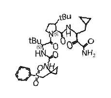 CC(C)(C)C1CCN(C(=O)[C@@H](NC(=O)NC2(CS(=O)(=O)c3ccccc3)CC2)C(C)(C)C)[C@@H]1C(=O)NC(CC1CC1)C(=O)C(N)=O